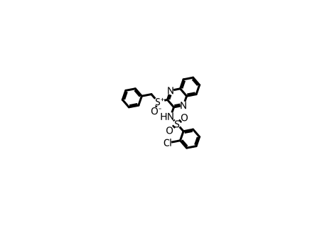 O=S(=O)(Nc1nc2ccccc2nc1[S+]([O-])Cc1ccccc1)c1ccccc1Cl